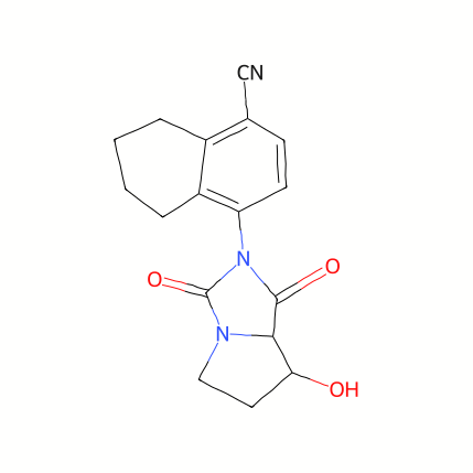 N#Cc1ccc(N2C(=O)C3C(O)CCN3C2=O)c2c1CCCC2